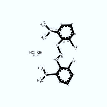 CC(C)c1cccc(N(C)C)c1[O][Zr][O]c1c(C(C)C)cccc1N(C)C.Cl.Cl